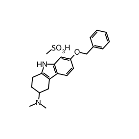 CN(C)C1CCc2[nH]c3cc(OCc4ccccc4)ccc3c2C1.CS(=O)(=O)O